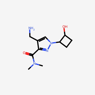 CN(C)C(=O)c1nn(C2CCC2O)cc1CN